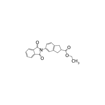 CCOC(=O)C1Cc2ccc(N3C(=O)c4ccccc4C3=O)cc2C1